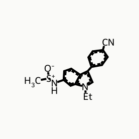 CCn1cc(-c2ccc(C#N)cc2)c2ccc(N[S+](C)[O-])cc21